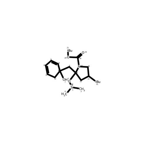 C[SiH](C)OC1(CC2(O)C=CC=CC2)CC(C(C)(C)C)CN1C(=O)OC(C)(C)C